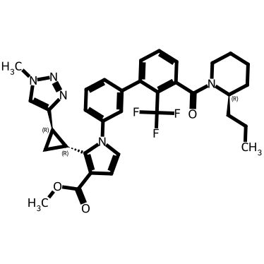 CCC[C@@H]1CCCCN1C(=O)c1cccc(-c2cccc(-n3ccc(C(=O)OC)c3[C@@H]3C[C@H]3c3cn(C)nn3)c2)c1C(F)(F)F